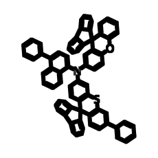 c1ccc(-c2ccc3c(c2)Sc2cc(N(c4ccc5c(c4)C4(c6ccccc6O5)c5ccccc5-c5ccccc54)c4ccc(-c5ccccc5)c5ccccc45)ccc2C32c3ccccc3-c3ccccc32)cc1